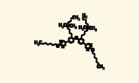 CCCCCCCOc1ncc(-c2ccc(Oc3ccc(-c4cnc(OCCCCCCC)nc4)cc3CCCC[Si](C)(C)CCCC)c(CCCC[Si](C)(C)CCCC)c2)cn1